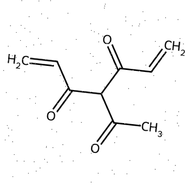 C=CC(=O)C(C(C)=O)C(=O)C=C